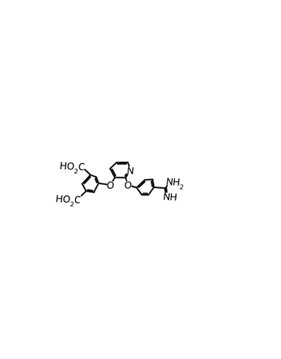 N=C(N)c1ccc(Oc2ncccc2Oc2cc(C(=O)O)cc(C(=O)O)c2)cc1